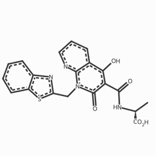 C[C@H](NC(=O)c1c(O)c2cccnc2n(Cc2nc3ccccc3s2)c1=O)C(=O)O